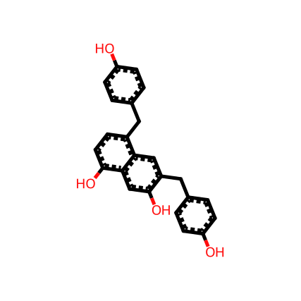 Oc1ccc(Cc2cc3c(Cc4ccc(O)cc4)ccc(O)c3cc2O)cc1